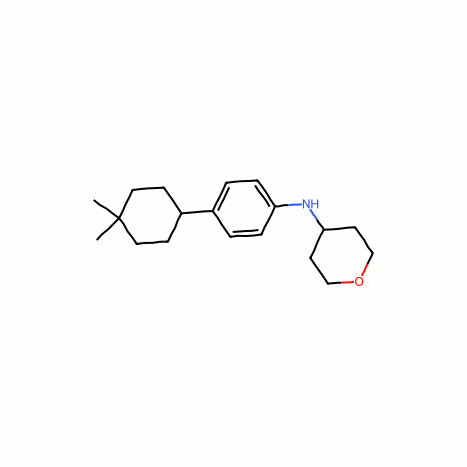 CC1(C)CCC(c2ccc(NC3CCOCC3)cc2)CC1